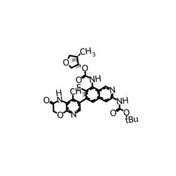 Cc1c(-c2cc3cc(NC(=O)OC(C)(C)C)ncc3c(NC(=O)O[C@@H]3COC[C@H]3C)c2F)cnc2c1NC(=O)CO2